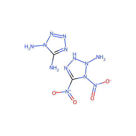 NN1NN=C([N+](=O)[O-])N1[N+](=O)[O-].Nc1nnnn1N